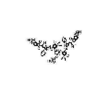 CCN(CC)c1cc(Nc2nc(Nc3cc(N(CC)CC)c(OC)cc3/N=N/c3nc(N4CCOCC4)c(/C=C(\C#N)N4C(=O)c5ccc(S(=O)(=O)O)cc5C4=O)s3)nc(SCCS(=O)(=O)O)n2)c(/N=N/c2nc(N3CCOCC3)c(/C=C(\C#N)N3C(=O)c4ccc(S(=O)(=O)O)cc4C3=O)s2)cc1OC